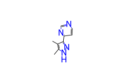 Cc1[nH]nc(-c2ccncn2)c1C